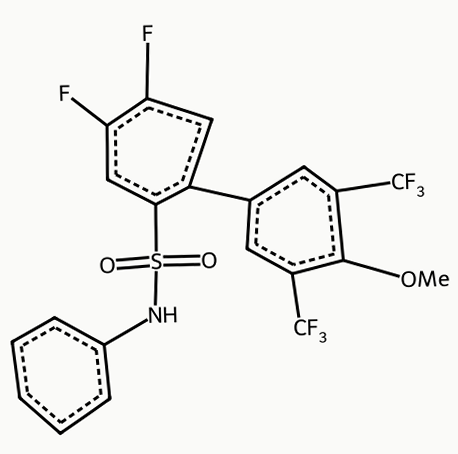 COc1c(C(F)(F)F)cc(-c2cc(F)c(F)cc2S(=O)(=O)Nc2ccccc2)cc1C(F)(F)F